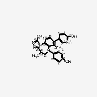 Cc1c(C2=CNC(O)C=C2)ccc2c1N(c1ccc(C#N)cc1)C[C@@H](C)c1nnc(C)n1-2